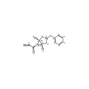 CNC(=O)[C@H]1[C@@H]2CN(Cc3ccccc3)C[C@@H]21